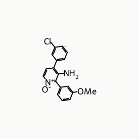 COc1cccc(-c2c(N)c(-c3cc[c]c(Cl)c3)cc[n+]2[O-])c1